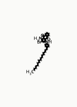 CCCCCCCCCCCCCCCCCCc1ccc(Nc2cc(Br)c(N)c3c2C(=O)c2ccccc2C3=O)cc1